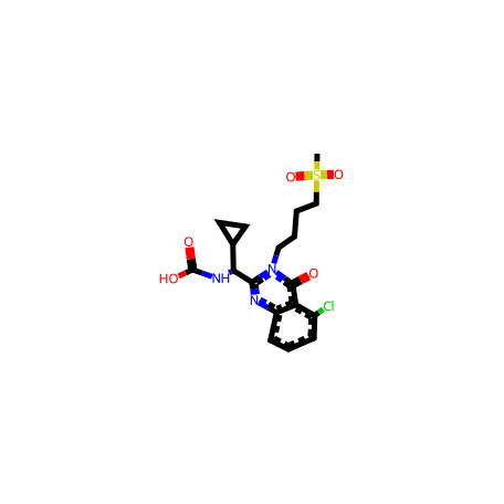 CS(=O)(=O)CCCCn1c(C(NC(=O)O)C2CC2)nc2cccc(Cl)c2c1=O